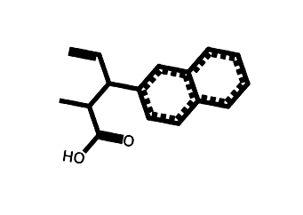 C=CC(c1ccc2ccccc2c1)C(C)C(=O)O